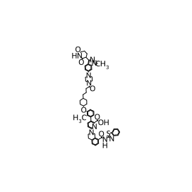 Cc1c(OC2CCC(CCCC(=O)N3CCN(c4ccc5c(C6CCC(=O)NC6=O)nn(C)c5c4)CC3)CC2)cccc1-c1ccc(N2CCc3cccc(C(=O)Nc4nc5ccccc5s4)c3C2)nc1C(=O)O